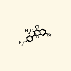 Cc1c(-c2ccc(C(F)(F)F)cc2)nc2cc(Br)ccc2c1Cl